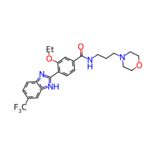 CCOc1cc(C(=O)NCCCN2CCOCC2)ccc1-c1nc2ccc(C(F)(F)F)cc2[nH]1